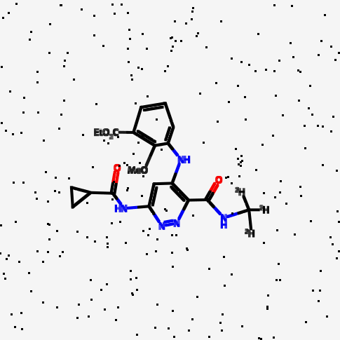 [2H]C([2H])([2H])NC(=O)c1nnc(NC(=O)C2CC2)cc1Nc1cccc(C(=O)OCC)c1OC